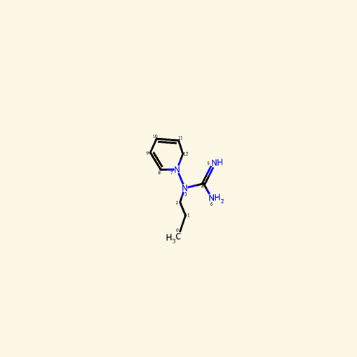 CCCN(C(=N)N)N1C=CC=CC1